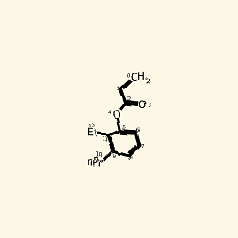 C=CC(=O)Oc1cccc(CCC)c1CC